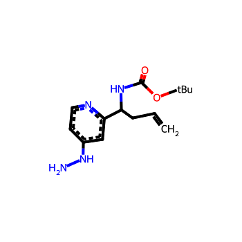 C=CCC(NC(=O)OC(C)(C)C)c1cc(NN)ccn1